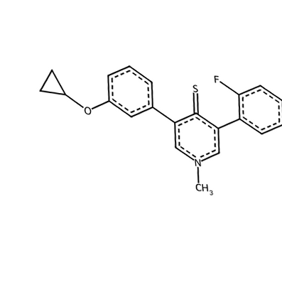 Cn1cc(-c2cccc(OC3CC3)c2)c(=S)c(-c2ccccc2F)c1